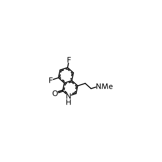 CNCCc1c[nH]c(=O)c2c(F)cc(F)cc12